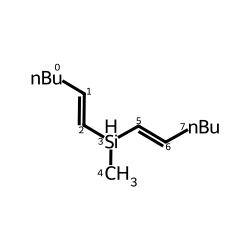 CCCCC=C[SiH](C)C=CCCCC